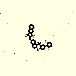 CN1c2ccc(-c3c(F)cccc3F)cc2C(C)(C)c2c1ccc1cc(C=C3C(=O)c4cc5ccccc5cc4C3=O)ccc21